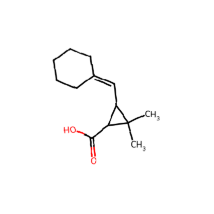 CC1(C)C(C=C2CCCCC2)C1C(=O)O